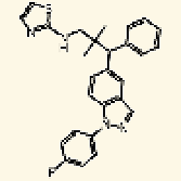 CC(C)(CNc1nccs1)C(c1ccccc1)c1ccc2c(cnn2-c2ccc(F)cc2)c1